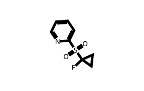 O=S(=O)(c1ccccn1)C1(F)CC1